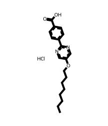 CCCCCCCCOc1cnc(-c2ccc(C(=O)O)cc2)nc1.Cl